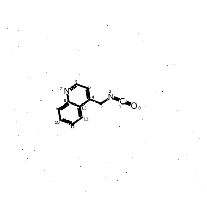 O=C=NCc1ccnc2ccccc12